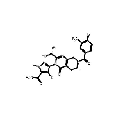 CNC(=O)c1c(Cl)c(-n2c([C@H](O)C(C)C)nc3c(c2=O)C[C@@H](C)N(C(=O)c2ccc(Br)c(C(F)(F)F)c2)C3)nn1C